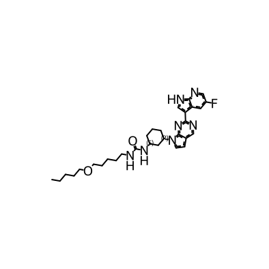 CCCCCOCCCCCNC(=O)N[C@H]1CCC[C@@H](n2ccc3cnc(-c4c[nH]c5ncc(F)cc45)nc32)C1